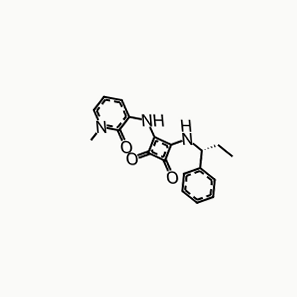 CC[C@@H](Nc1c(Nc2cccn(C)c2=O)c(=O)c1=O)c1ccccc1